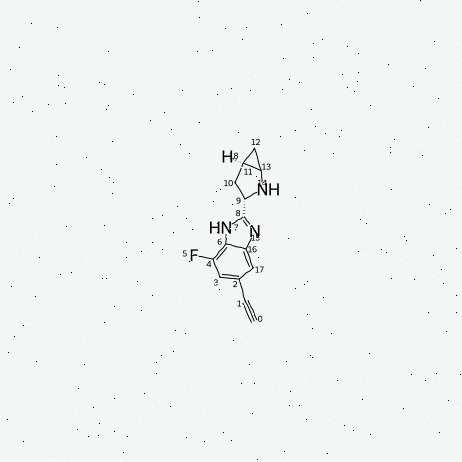 C#Cc1cc(F)c2[nH]c([C@@H]3C[C@H]4CC4N3)nc2c1